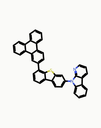 c1cc(-c2ccc3c4ccccc4c4ccccc4c3c2)c2sc3cc(-n4c5ccccc5c5cccnc54)ccc3c2c1